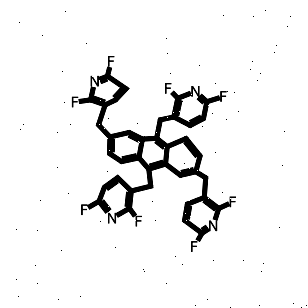 Fc1ccc(Cc2ccc3c(Cc4ccc(F)nc4F)c4cc(Cc5ccc(F)nc5F)ccc4c(Cc4ccc(F)nc4F)c3c2)c(F)n1